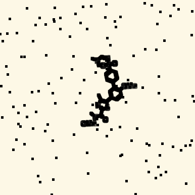 COc1ccc(-c2sc(C(=O)N(C)OC)nc2C)cc1-c1ccc(S(=O)(=O)/N=C\N(C)C)cc1